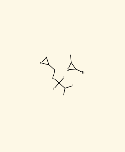 CC1OC1Br.FC(F)C(F)(F)OCC1CO1